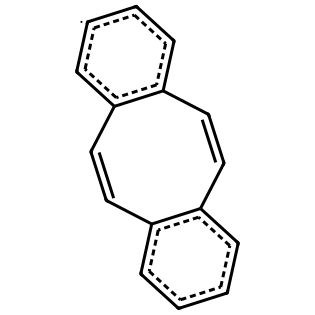 [c]1ccc2c(c1)C=Cc1ccccc1C=C2